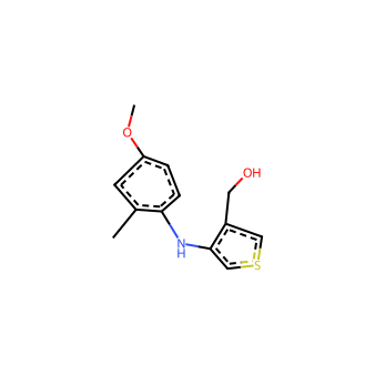 COc1ccc(Nc2cscc2CO)c(C)c1